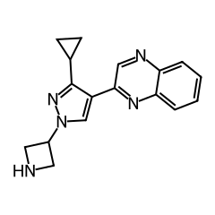 c1ccc2nc(-c3cn(C4CNC4)nc3C3CC3)cnc2c1